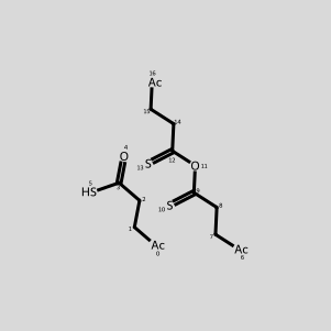 CC(=O)CCC(=O)S.CC(=O)CCC(=S)OC(=S)CCC(C)=O